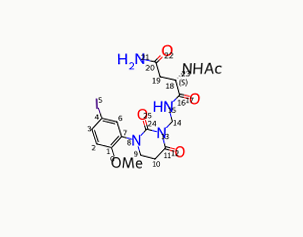 COc1ccc(I)cc1N1CCC(=O)N(CNC(=O)[C@H](CC(N)=O)NC(C)=O)C1=O